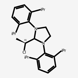 CC(C)c1cccc(C(C)C)c1N1CCN(c2c(C(C)C)cccc2C(C)C)C1[C@H](C)Cl